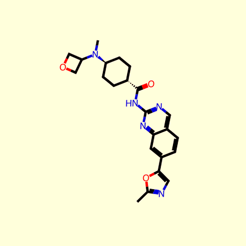 Cc1ncc(-c2ccc3cnc(NC(=O)[C@H]4CC[C@H](N(C)C5COC5)CC4)nc3c2)o1